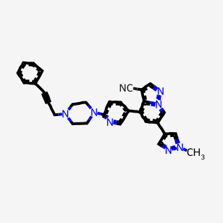 Cn1cc(-c2cc(-c3ccc(N4CCN(CC#Cc5ccccc5)CC4)nc3)c3c(C#N)cnn3c2)cn1